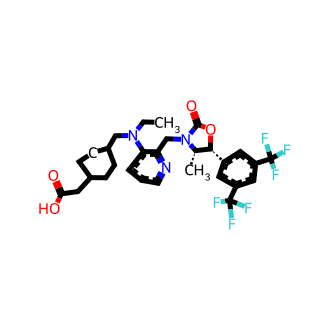 CCN(CC1CCC(CC(=O)O)CC1)c1cccnc1CN1C(=O)O[C@H](c2cc(C(F)(F)F)cc(C(F)(F)F)c2)[C@@H]1C